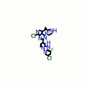 Fc1cc(Cl)cnc1Nc1cc(-c2nc(N3CCNCC3)c3c(C4CC4)cnc(Cl)c3n2)ccn1